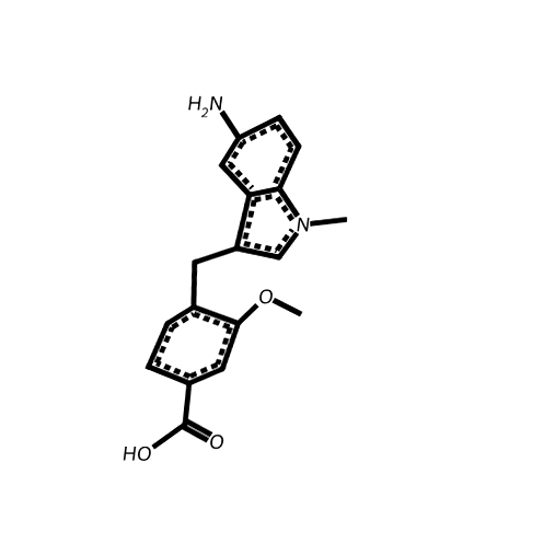 COc1cc(C(=O)O)ccc1Cc1cn(C)c2ccc(N)cc12